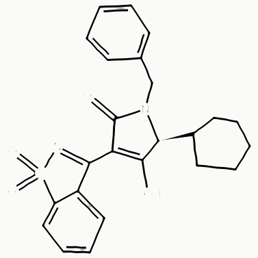 O=C1C(C2=NS(=O)(=O)c3ccccc32)=C(O)[C@H](C2CCCCC2)N1Cc1ccccc1